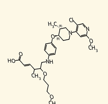 COCCCOC(CNc1ccc(O[C@@H]2CCN(c3cc(OC)ncc3Cl)C[C@H]2C)cc1)C(C)C=CC(=O)O